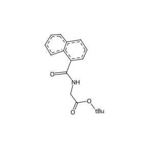 CC(C)(C)OC(=O)CNC(=O)c1cccc2ccccc12